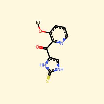 CCOc1cccnc1C(=O)c1c[nH]c(=S)[nH]1